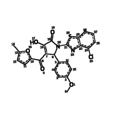 COc1ccc(C2C(C(=O)c3ccc(C)o3)=C(O)C(=O)N2c2nc3c(Cl)cccc3s2)cc1